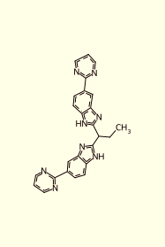 CCC(c1nc2cc(-c3ncccn3)ccc2[nH]1)c1nc2cc(-c3ncccn3)ccc2[nH]1